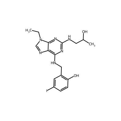 CCn1cnc2c(NCc3cc(I)ccc3O)nc(NCC(C)O)nc21